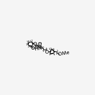 COCCc1ccc(OC[CH]CNC(=O)COc2ccccc2OC)cc1